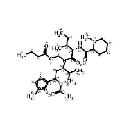 CCCC(=O)OCN(C(=O)[C@@H](NC(=O)C1CCCCN1C)C(C)CC)[C@H](C[C@@H](OC(C)=O)c1nc(C)cs1)C(C)C